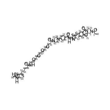 C=CC(=O)N1CCN(C(=O)c2cc(Sc3cnc(NC(=O)c4ccc(N5CCN(C(=O)CCOCCOCCOCCOCCNC(=O)CCCCC6SCC7NC(=C)NC76)CC5)cc4)s3)c(C)cc2OC)CC1